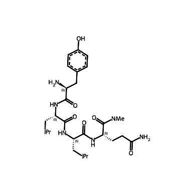 CNC(=O)[C@H](CCC(N)=O)NC(=O)[C@H](CC(C)C)NC(=O)[C@H](CC(C)C)NC(=O)[C@@H](N)Cc1ccc(O)cc1